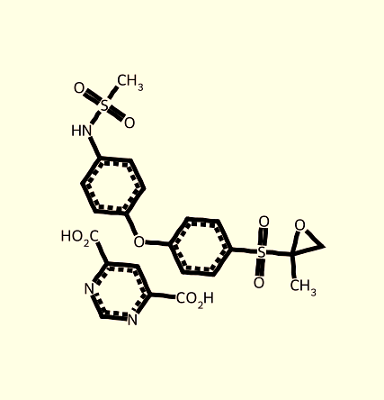 CC1(S(=O)(=O)c2ccc(Oc3ccc(NS(C)(=O)=O)cc3)cc2)CO1.O=C(O)c1cc(C(=O)O)ncn1